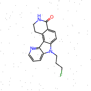 O=C1NCCc2c1ccc1c2c2ncccc2n1CCCF